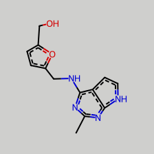 Cc1nc(NCc2ccc(CO)o2)c2cc[nH]c2n1